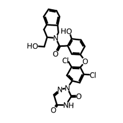 O=C(c1cc(Oc2c(Cl)cc(-n3ncc(=O)[nH]c3=O)cc2Cl)ccc1O)N1Cc2ccccc2CC1CO